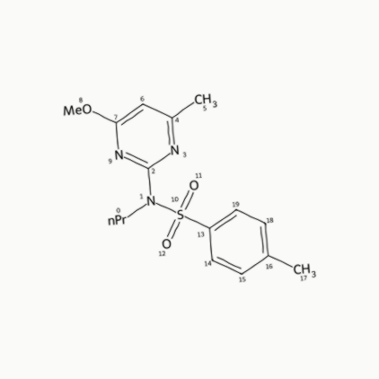 CCCN(c1nc(C)cc(OC)n1)S(=O)(=O)c1ccc(C)cc1